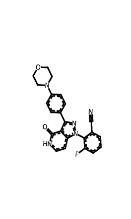 N#Cc1cccc(F)c1-n1nc(-c2ccc(N3CCOCC3)cc2)c2c(=O)[nH]ccc21